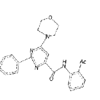 CC(=O)c1ccccc1NC(=O)c1cc(N2CCOCC2)nc(-c2ccccc2)n1